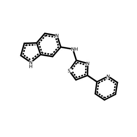 c1ccc(-c2csc(Nc3cc4[nH]ccc4cn3)n2)nc1